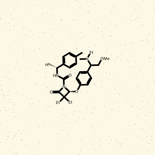 CCC[C@@H](NC(=O)N1C(=O)C(CC)(CC)[C@@H]1Oc1ccc(C(COC)N(C)CC)cc1)c1ccc(C)cc1